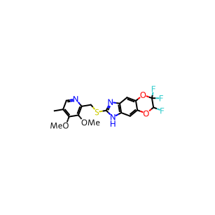 COc1c(C)cnc(CSc2nc3cc4c(cc3[nH]2)OC(F)C(F)(F)O4)c1OC